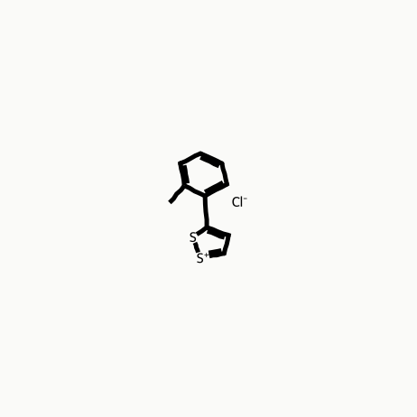 Cc1ccccc1-c1cc[s+]s1.[Cl-]